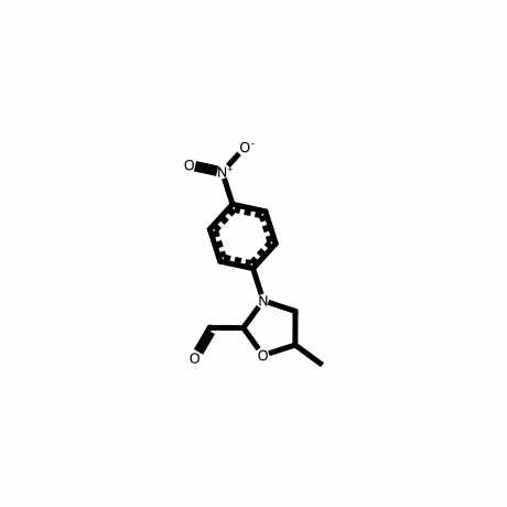 CC1CN(c2ccc([N+](=O)[O-])cc2)C(C=O)O1